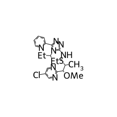 CCC(CC)n1c(NSC(C)C(OC)c2ncc(Cl)cn2)nnc1-c1ccccn1